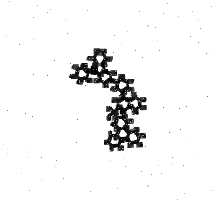 CC1(C)c2cc3c4ccccc4c4ccccc4c3cc2-c2c1cc(-c1cccc(-c3ccc4c(c3)c3ccccc3n4-c3ccccc3)c1)c1ccccc21